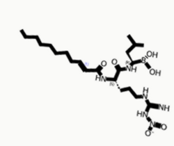 CCCCCCCC/C=C/C(=O)N[C@@H](CCCNC(=N)N[N+](=O)[O-])C(=O)N[C@@H](CC(C)C)B(O)O